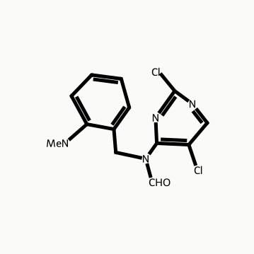 CNc1ccccc1CN(C=O)c1nc(Cl)ncc1Cl